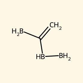 BBC(B)=C